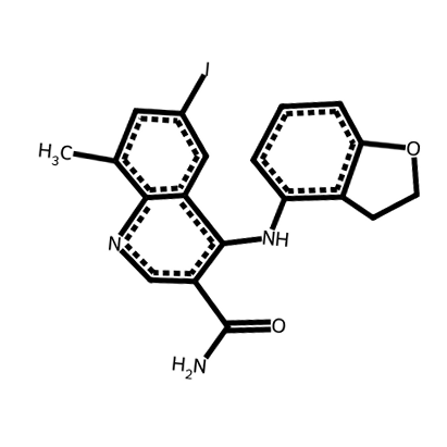 Cc1cc(I)cc2c(Nc3cccc4c3CCO4)c(C(N)=O)cnc12